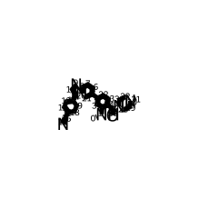 CNc1cc(-c2ccc3ncc(C4=CC=C(C#N)CC4)n3c2)ccc1C(=O)N1CCN(C)CC1